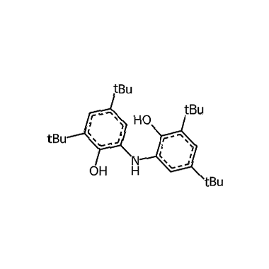 CC(C)(C)c1cc(Nc2cc(C(C)(C)C)cc(C(C)(C)C)c2O)c(O)c(C(C)(C)C)c1